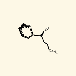 CC[CH]C(=O)c1ccccn1